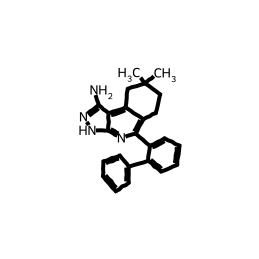 CC1(C)CCc2c(-c3ccccc3-c3ccccc3)nc3[nH]nc(N)c3c2C1